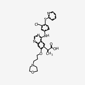 C=C(C(=O)O)c1cc2c(Nc3ccc(Sc4ccccn4)c(Cl)c3)ncnc2cc1OCCCN1CCOCC1